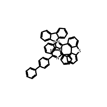 c1ccc(-c2ccc(-c3nc(-c4cccc5sc6cccc(-c7nc8ccccc8n7-c7ccccc7)c6c45)nc(-n4c5ccccc5c5ccccc54)n3)cc2)cc1